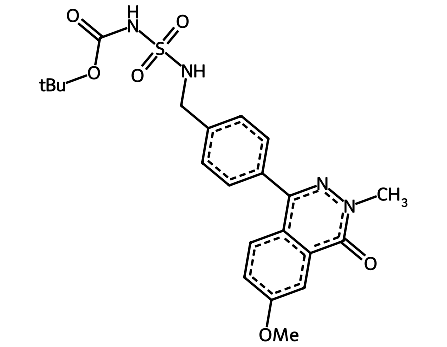 COc1ccc2c(-c3ccc(CNS(=O)(=O)NC(=O)OC(C)(C)C)cc3)nn(C)c(=O)c2c1